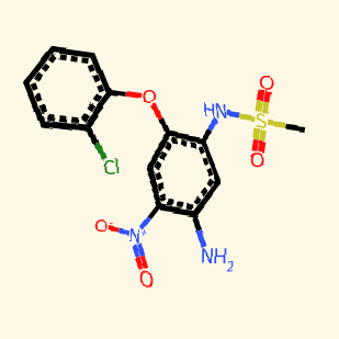 CS(=O)(=O)Nc1cc(N)c([N+](=O)[O-])cc1Oc1ccccc1Cl